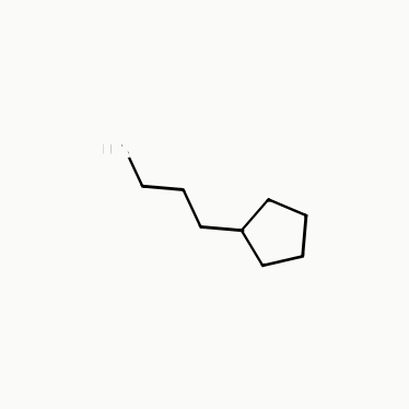 NCCCC1CCCC1